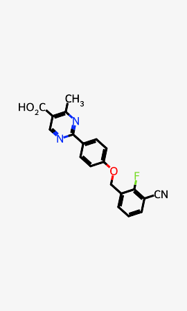 Cc1nc(-c2ccc(OCc3cccc(C#N)c3F)cc2)ncc1C(=O)O